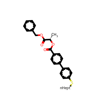 CCCCCCCSc1ccc(-c2ccc(C(=O)O[C@@H](C)C(=O)OCc3ccccc3)cc2)cc1